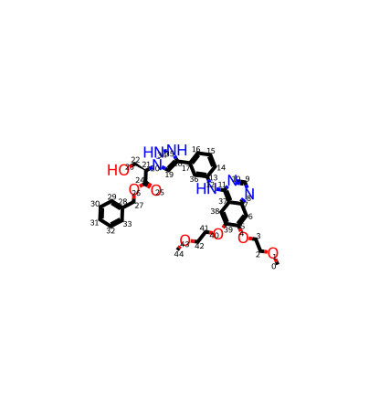 COCCOc1cc2ncnc(Nc3cccc(C4=CN([C@H](CO)C(=O)OCc5ccccc5)NN4)c3)c2cc1OCCOC